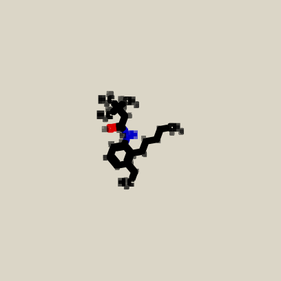 CCCCCc1c(CC)cccc1NC(=O)CC(C)(C)C